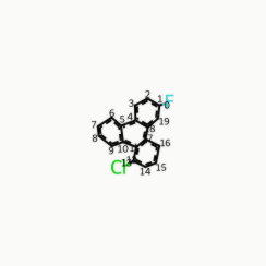 Fc1ccc2c3ccccc3c3c(Cl)cccc3c2c1